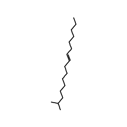 CCCCCCC=CCCCCCC[C](C)C